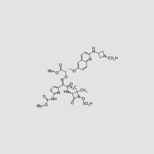 CC(C)(C)OC(=O)Nc1nc(/C(=N/O[C@@H](COc2ccc3nc(NC4CN(C(=O)O)C4)ccc3c2)C(=O)OC(C)(C)C)C(=O)N[C@@H]2C(=O)N(OS(=O)(=O)O)C2(C)C)cs1